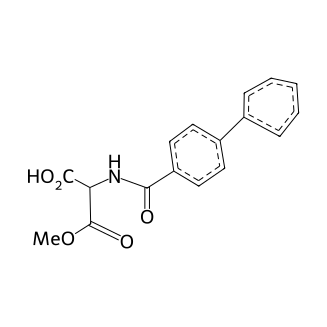 COC(=O)C(NC(=O)c1ccc(-c2ccccc2)cc1)C(=O)O